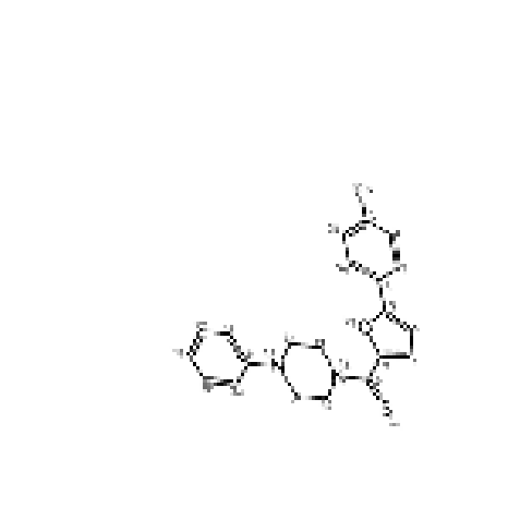 Fc1ccc(-c2ccc(C(=S)N3CCN(c4ccccc4)CC3)o2)cc1